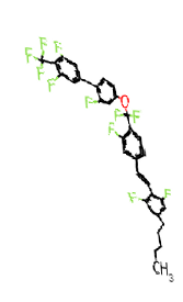 CCCCCc1cc(F)c(C#Cc2ccc(C(F)(F)Oc3ccc(-c4cc(F)c(C(F)(F)F)c(F)c4)c(F)c3)c(F)c2)c(F)c1